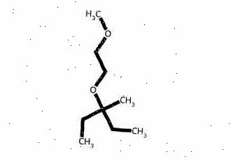 CCC(C)(CC)OCCOC